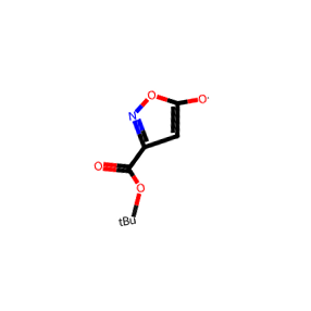 CC(C)(C)OC(=O)c1cc([O])on1